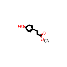 N#COC(=O)/C=C/c1ccc(O)cc1